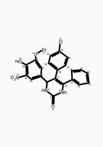 CCOc1cc(C2NC(=O)NC(c3ccccc3)=C2c2ccc(Cl)cc2)cc([N+](=O)[O-])c1O